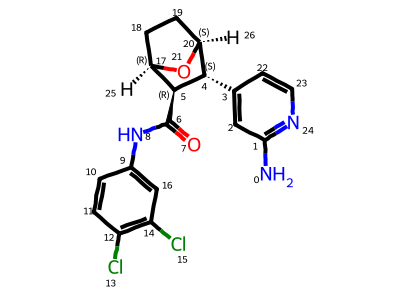 Nc1cc([C@@H]2[C@@H](C(=O)Nc3ccc(Cl)c(Cl)c3)[C@H]3CC[C@@H]2O3)ccn1